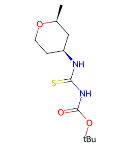 C[C@H]1C[C@@H](NC(=S)NC(=O)OC(C)(C)C)CCO1